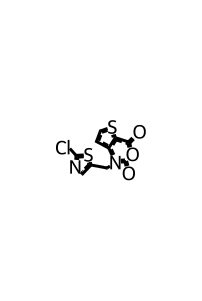 O=c1oc(=O)n(Cc2cnc(Cl)s2)c2ccsc12